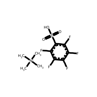 C[N+](C)(C)C.O=S(=O)(O)c1c(F)c(F)c(F)c(F)c1F